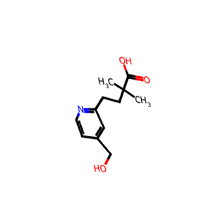 CC(C)(CCc1cc(CO)ccn1)C(=O)O